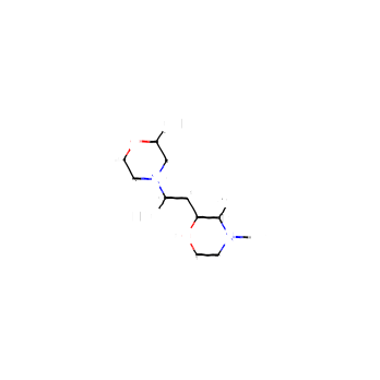 CC1CN(C(C)CC2OCCN(C(C)C)C2C)CCO1